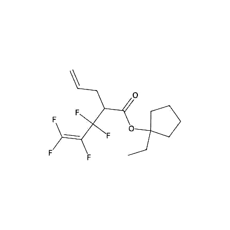 C=CCC(C(=O)OC1(CC)CCCC1)C(F)(F)C(F)=C(F)F